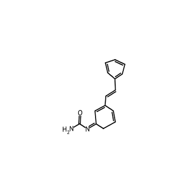 NC(=O)N=C1C=C(C=Cc2ccccc2)C=CC1